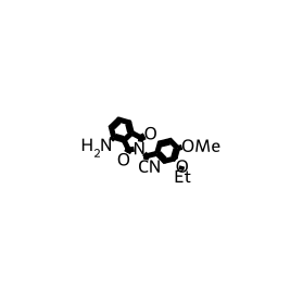 CCOc1cc(C(C#N)N2C(=O)c3cccc(N)c3C2=O)ccc1OC